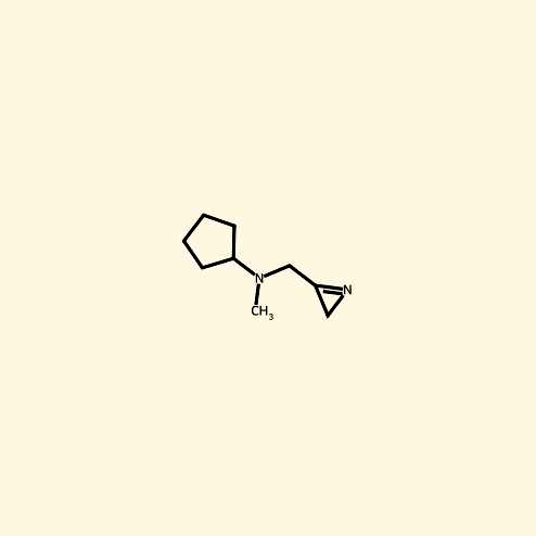 CN(CC1=NC1)C1CCCC1